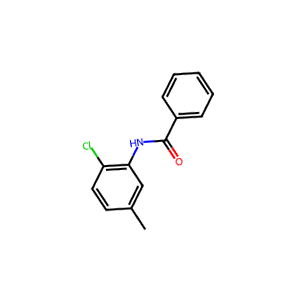 Cc1ccc(Cl)c(NC(=O)c2ccccc2)c1